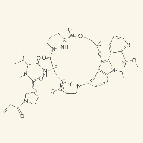 C=CC(=O)N1CC[C@H](C(=O)N(C)C(C(=O)N[C@H]2C[C@@H]3CN(CC[S+]3[O-])c3ccc4c(c3)c(c(-c3cccnc3[C@H](C)OC)n4CC)CC(C)(C)COC(=O)[C@@H]3CCCN(N3)C2=O)C(C)C)C1